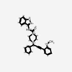 COc1ccccc1C#CC(c1ccccc1)N1CCN(C(=O)Nc2noc3ccccc23)CC1